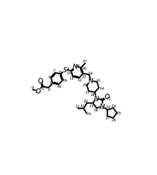 COC(=O)Cc1ccc(Sc2ccc(CN3CCC(N4C(=O)N(C5CCCC5)CC4CC(C)C)CC3)c(C)n2)cc1